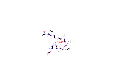 CCCCCCCCCCN(CC(=O)NCC(N)=O)C(=O)CN(CCCCCCCCCC)C(=O)CN(CC(CC)CCCC)C(=O)CN(CCCCCCCCCC)C(=O)CN(CCCCCCCCCC)C(=O)CN(CCCCCCCCCC)C(=O)CN(CC(CC)CCCC)C(=O)CNC(CO)CO